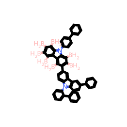 Bc1c(B)c(B)c2c(c1B)c1c(B)c(-c3ccc4c(c3)c3cc(-c5ccccc5)ccc3n4-c3ccccc3-c3ccccc3)c(B)c(B)c1n2-c1ccc(-c2ccccc2)cc1